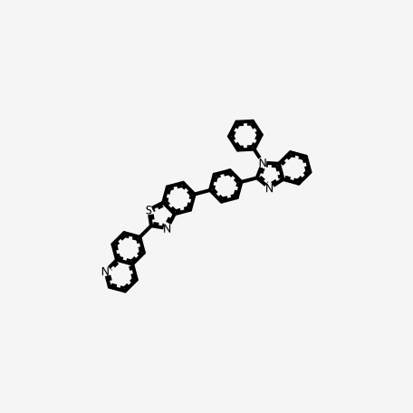 c1ccc(-n2c(-c3ccc(-c4ccc5sc(-c6ccc7ncccc7c6)nc5c4)cc3)nc3ccccc32)cc1